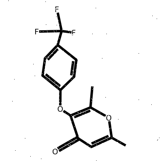 Cc1cc(=O)c(Oc2ccc(C(F)(F)F)cc2)c(C)o1